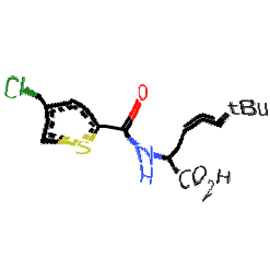 CC(C)(C)C=CC(NC(=O)c1cc(Cl)cs1)C(=O)O